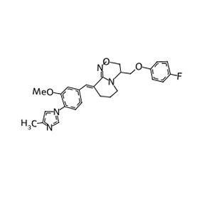 COc1cc(/C=C2\CCCN3C2=NOCC3COc2ccc(F)cc2)ccc1-n1cnc(C)c1